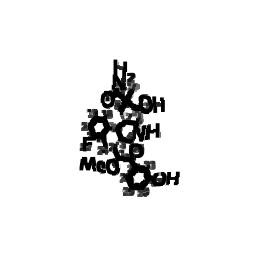 COC(C[C@H]1CNC[C@@H](CC(C)(CO)C(N)=O)[C@H]1c1cccc(F)c1C)C(=O)c1cccc(O)c1